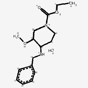 CCOC(=O)N1CCC(NCc2ccccc2)C(OC)C1.Cl